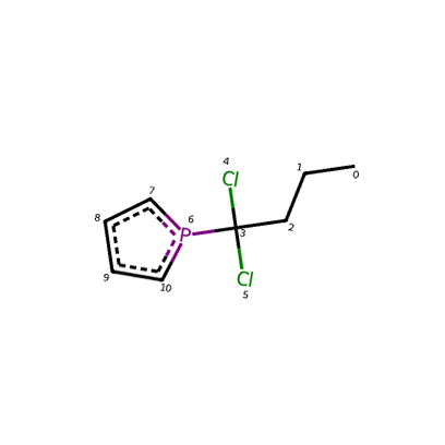 CCCC(Cl)(Cl)p1cccc1